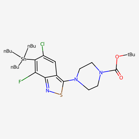 CCC[CH2][Sn]([CH2]CCC)([CH2]CCC)[c]1c(Cl)cc2c(N3CCN(C(=O)OC(C)(C)C)CC3)snc2c1F